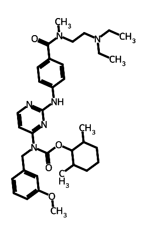 CCN(CC)CCN(C)C(=O)c1ccc(Nc2nccc(N(Cc3cccc(OC)c3)C(=O)OC3C(C)CCCC3C)n2)cc1